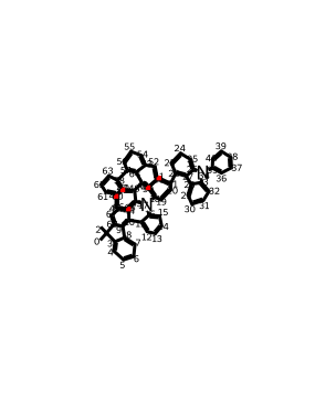 CC1(C)c2ccccc2-c2c(-c3ccccc3N(c3ccc(-c4cccc5c4c4ccccc4n5-c4ccccc4)cc3)c3ccccc3-c3cccc4cccc(-c5ccccc5)c34)cccc21